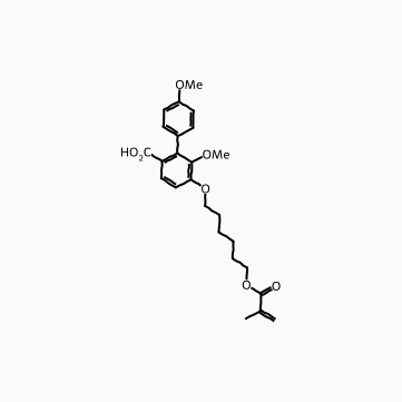 C=C(C)C(=O)OCCCCCCOc1ccc(C(=O)O)c(-c2ccc(OC)cc2)c1OC